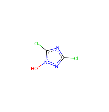 On1nc(Cl)nc1Cl